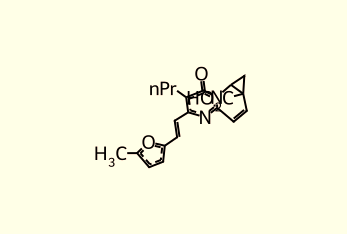 CCCc1c(/C=C/c2ccc(C)o2)nc2n(c1=O)C1CC1(C(=O)O)C=C2